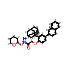 O=C(COc1ccc(-c2ccc3ccccc3c2)cc1C12CC3CC(CC(C3)C1)C2)NOC1CCCCO1